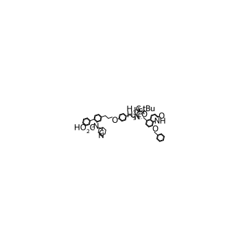 CC(C)(C)[Si](C)(C)O[C@@H](CNCCc1ccc(OCCCc2ccc(-c3ccccc3)c(N(C(=O)O)C3CN4CCC3CC4)c2)cc1)c1ccc(OCc2ccccc2)c2[nH]c(=O)ccc12